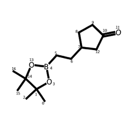 CC1(C)OB(CCC2CCC(=O)C2)OC1(C)C